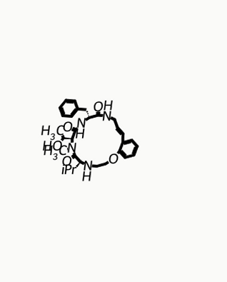 CC(C)[C@@H]1NCCOc2ccccc2/C=C/CNC(=O)[C@@H](Cc2ccccc2)NC(=O)[C@H](C(C)O)N(C)C1=O